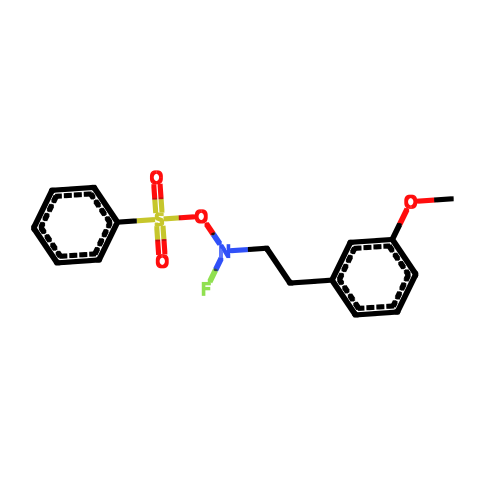 COc1cccc(CCN(F)OS(=O)(=O)c2ccccc2)c1